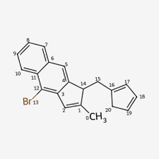 CC1=Cc2c(cc3ccccc3c2Br)C1CC1=CC=CC1